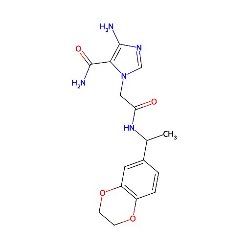 CC(NC(=O)Cn1cnc(N)c1C(N)=O)c1ccc2c(c1)OCCO2